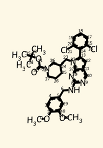 COc1ccc(CNc2ncc3cc(-c4c(Cl)cccc4Cl)n(CC4CCCN(C(=O)OC(C)(C)C)C4)c3n2)cc1OC